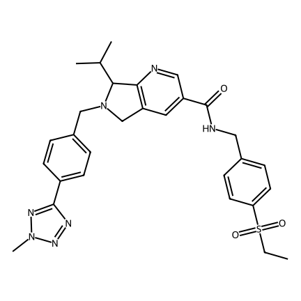 CCS(=O)(=O)c1ccc(CNC(=O)c2cnc3c(c2)CN(Cc2ccc(-c4nnn(C)n4)cc2)C3C(C)C)cc1